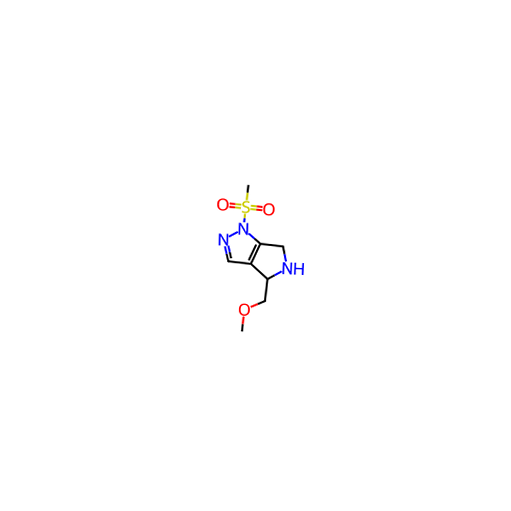 COCC1NCc2c1cnn2S(C)(=O)=O